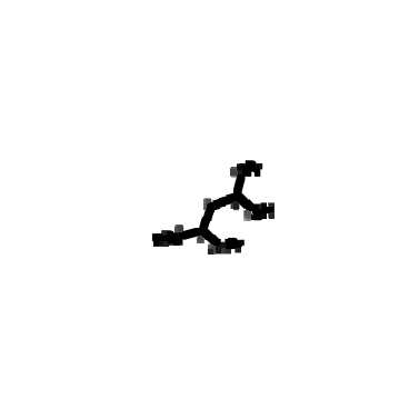 CCCCC(CCC)CC(S)CCC